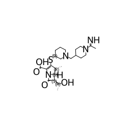 CC(=N)N1CCC(CN2CCC[C@@H](SC3=C(C(=O)O)N4C(=O)[C@H]([C@@H](C)O)[C@H]4[C@H]3C)C2)CC1